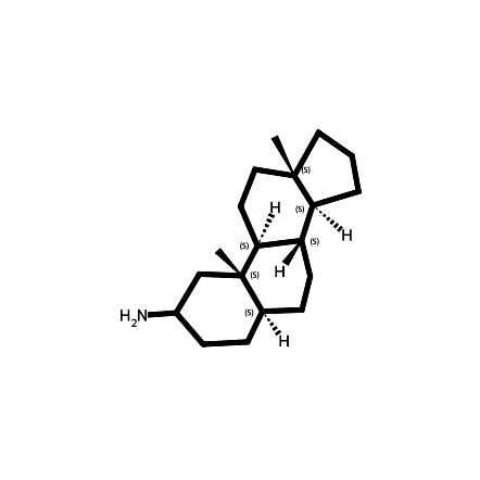 C[C@@]12CCC[C@H]1[C@@H]1CC[C@H]3CCC(N)C[C@]3(C)[C@H]1CC2